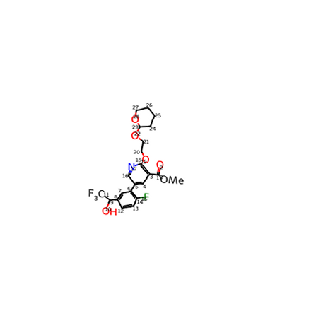 COC(=O)c1cc(-c2cc(C(O)C(F)(F)F)ccc2F)cnc1OCCOC1CCCCO1